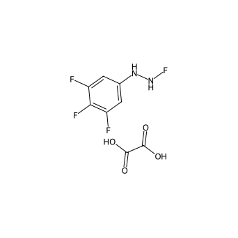 FNNc1cc(F)c(F)c(F)c1.O=C(O)C(=O)O